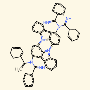 C=C(C1=CC=CCC1)N(C(=N)c1ccccc1)c1ccc2c3c1c1ccccc1n3c1ccc(N(C(=N)c3ccccc3)C(=N)C3C=CC=CC3)c3c4ccccc4n2c31